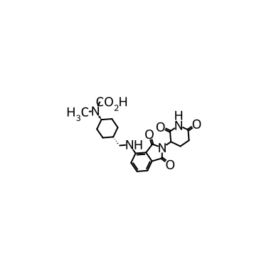 CN(C(=O)O)[C@H]1CC[C@H](CNc2cccc3c2C(=O)N(C2CCC(=O)NC2=O)C3=O)CC1